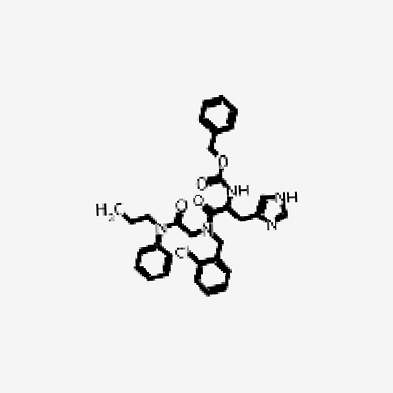 CCCN(C(=O)CN(Cc1ccccc1Cl)C(=O)C(Cc1c[nH]cn1)NC(=O)OCc1ccccc1)c1ccccc1